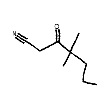 CCCC(C)(C)C(=O)CC#N